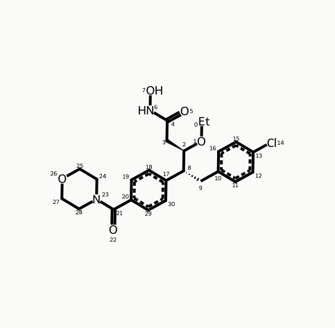 CCO[C@H](CC(=O)NO)[C@H](Cc1ccc(Cl)cc1)c1ccc(C(=O)N2CCOCC2)cc1